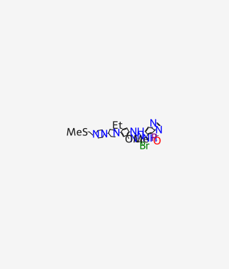 CCc1cc(Nc2ncc(Br)c(Nc3ccc4nccnc4c3P(C)(C)=O)n2)c(OC)cc1N1CCC(N2CCN(CCSC)CC2)CC1